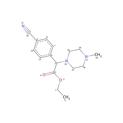 CCOC(=O)C(c1ccc(C#N)cc1)N1CCN(C)CC1